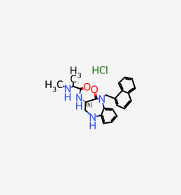 CNC(C)C(=O)N[C@H]1CNc2ccccc2N(Cc2cccc3ccccc23)C1=O.Cl